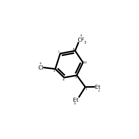 CCC(CC)c1cc(Cl)cc(C(F)(F)F)c1